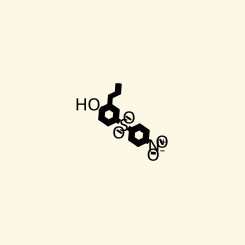 C=CCc1cc(S(=O)(=O)c2ccc([N+](=O)[O-])cc2)ccc1O